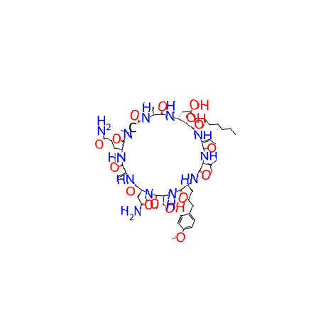 C/C=C1\NC(=O)[C@H](CC(N)=O)N(C)C(=O)[C@H]([C@@H](C)O)NC(=O)[C@H](CCCc2ccc(OC)cc2)NC(=O)[C@H](C(C)C)NC(=O)/C(=C\C)NC(=O)[C@H](O)[C@@H](C[C@@H](O)CCCCCCC)NC(=O)[C@H](C)NC(=O)CN(C)C(=O)[C@H](CCC(N)=O)NC1=O